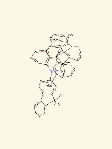 C=C(C)C1CC=CC2=C1C1(c3cc(C(C)(C)C)ccc32)c2ccccc2-c2cccc(N(c3ccc4c(c3)C(C)(C)c3ccccc3-4)c3ccccc3-c3ccccc3)c21